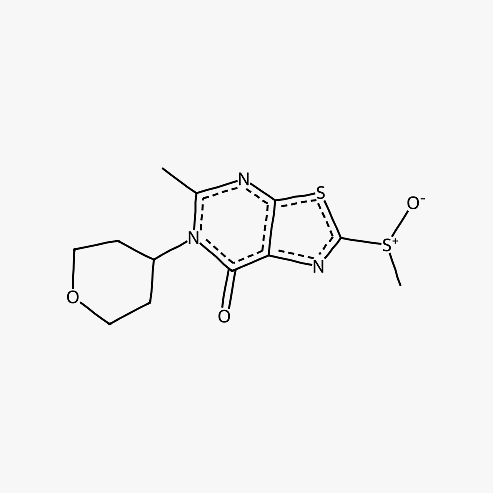 Cc1nc2sc([S+](C)[O-])nc2c(=O)n1C1CCOCC1